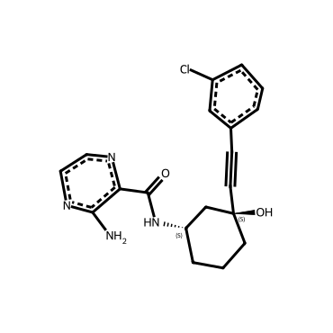 Nc1nccnc1C(=O)N[C@H]1CCC[C@@](O)(C#Cc2cccc(Cl)c2)C1